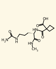 CNC(=O)[C@H](CCCNC(N)=O)NC(=O)C1(C(=O)O)CCC1